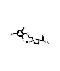 CCC[N+]1(CCOc2c(Cl)cc(Cl)cc2Cl)C=CN(C(N)=O)C1